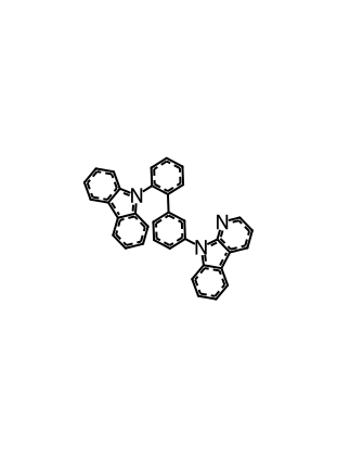 c1cc(-c2ccccc2-n2c3ccccc3c3ccccc32)cc(-n2c3ccccc3c3cccnc32)c1